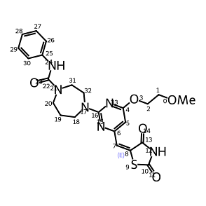 COCCOc1cc(/C=C2/SC(=O)NC2=O)nc(N2CCCN(C(=O)Nc3ccccc3)CC2)n1